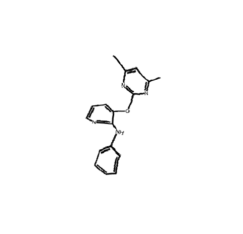 Cc1cc(C)nc(Oc2cccnc2Nc2ccccc2)n1